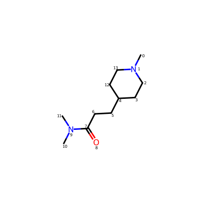 CN1CCC(CCC(=O)N(C)C)CC1